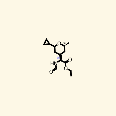 CCOC(=O)/C(NC=O)=C1/CC(C2CC2)O[C@@H](C)C1